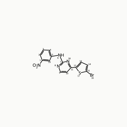 O=[N+]([O-])c1cccc(Nc2nccc(-c3ccc(Br)s3)n2)c1